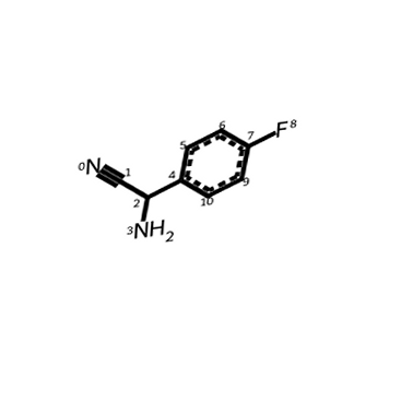 N#CC(N)c1ccc(F)cc1